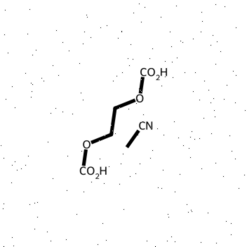 CC#N.O=C(O)OCCOC(=O)O